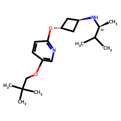 CC(C)[C@H](C)N[C@H]1C[C@H](Oc2ccc(OCC(C)(C)C)cn2)C1